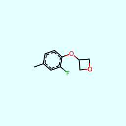 Cc1ccc(OC2COC2)c(F)c1